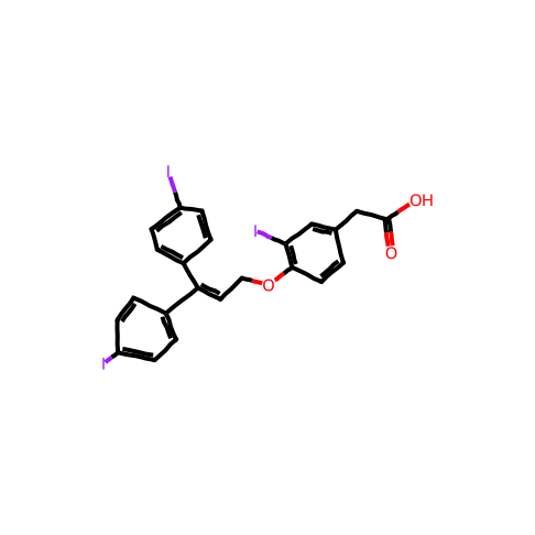 O=C(O)Cc1ccc(OCC=C(c2ccc(I)cc2)c2ccc(I)cc2)c(I)c1